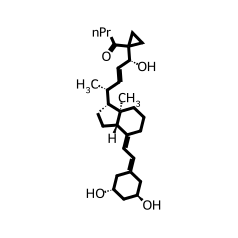 CCCC(=O)C1([C@H](O)/C=C/[C@@H](C)[C@H]2CC[C@H]3/C(=C/C=C4C[C@@H](O)C[C@H](O)C4)CCC[C@]23C)CC1